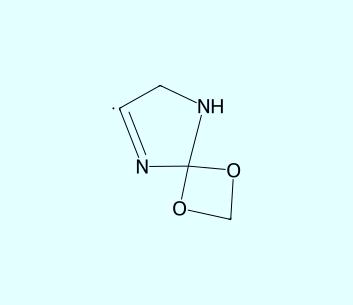 [C]1=NC2(NC1)OCO2